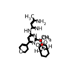 CCS(=O)(=O)N1[C@@H]2CCC[C@H]1C[C@H](N(C)c1nc(NC(=N)/C=C(/C)N)cc(C3=CCOCC3)n1)C2